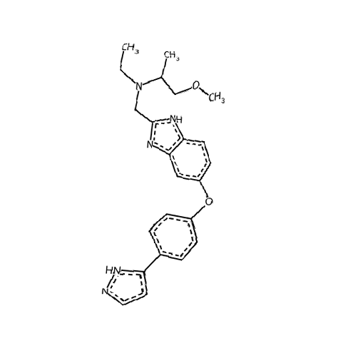 CCN(Cc1nc2cc(Oc3ccc(-c4ccn[nH]4)cc3)ccc2[nH]1)C(C)COC